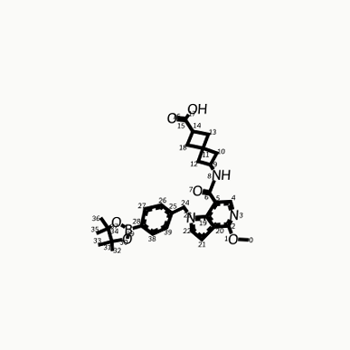 COc1ncc(C(=O)NC2CC3(C2)CC(C(=O)O)C3)c2c1ccn2Cc1ccc(B2OC(C)(C)C(C)(C)O2)cc1